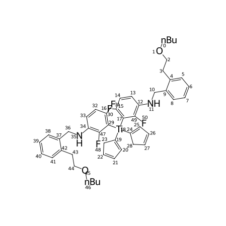 CCCCOCCc1ccccc1CNc1ccc(F)[c]([Ti]([C]2=CC=CC2)([C]2=CC=CC2)[c]2c(F)ccc(NCc3ccccc3CCOCCCC)c2F)c1F